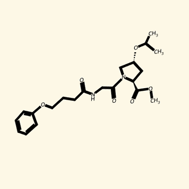 COC(=O)[C@@H]1C[C@@H](OC(C)C)CN1C(=O)CNC(=O)CCCOc1ccccc1